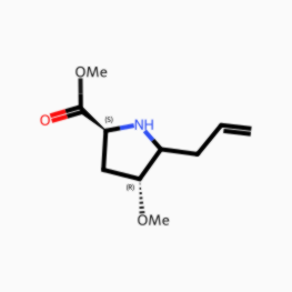 C=CCC1N[C@H](C(=O)OC)C[C@H]1OC